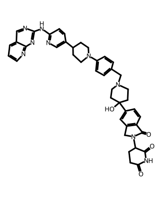 O=C1CCC(N2Cc3cc(C4(O)CCN(Cc5ccc(N6CCC(c7ccc(Nc8ncc9cccnc9n8)nc7)CC6)cc5)CC4)ccc3C2=O)C(=O)N1